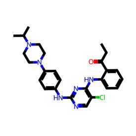 CCC(=O)c1ccccc1Nc1nc(Nc2ccc(N3CCN(C(C)C)CC3)cc2)ncc1Cl